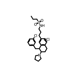 CCCS(=O)(=O)NCCCc1ccc2c(c1)C(Cc1cccc(Cl)c1)C(N1CCCC1)CC2.Cl